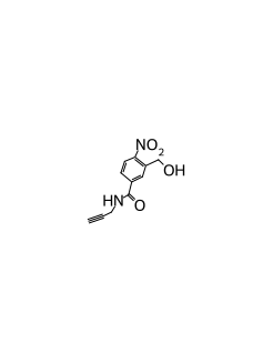 C#CCNC(=O)c1ccc([N+](=O)[O-])c(CO)c1